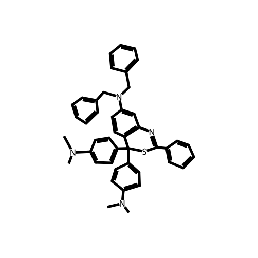 CN(C)c1ccc(C2(c3ccc(N(C)C)cc3)SC(c3ccccc3)=Nc3cc(N(Cc4ccccc4)Cc4ccccc4)ccc32)cc1